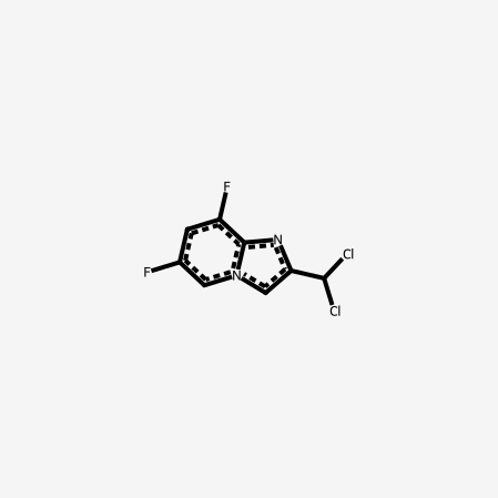 Fc1cc(F)c2nc(C(Cl)Cl)cn2c1